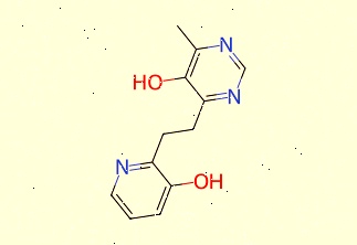 Cc1ncnc(CCc2ncccc2O)c1O